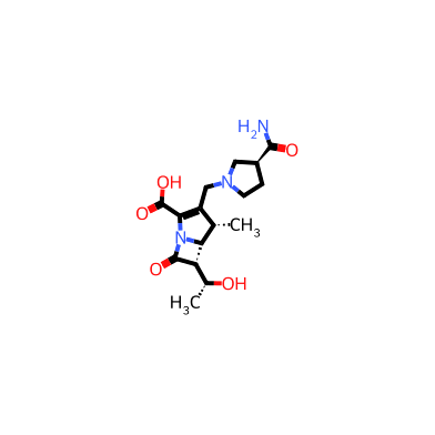 C[C@H]1C(CN2CC[C@H](C(N)=O)C2)=C(C(=O)O)N2C(=O)[C@@H]([C@@H](C)O)C12